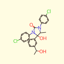 CC(O)c1cccc(C2(O)C(C)N(c3ccc(Cl)cc3)C(=O)N2c2ccc(Cl)cc2)c1